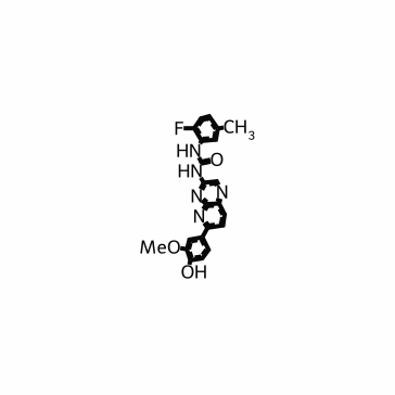 COc1cc(-c2ccc3ncc(NC(=O)Nc4cc(C)ccc4F)nc3n2)ccc1O